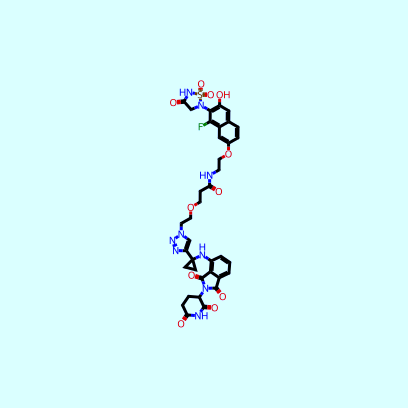 O=C(CCOCCn1cc(C2(Nc3cccc4c3C(=O)N(C3CCC(=O)NC3=O)C4=O)CC2)nn1)NCCOc1ccc2cc(O)c(N3CC(=O)NS3(=O)=O)c(F)c2c1